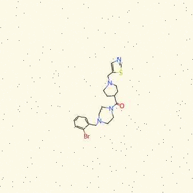 O=C(C1CCN(Cc2cncs2)CC1)N1CCN(Cc2ccccc2Br)CC1